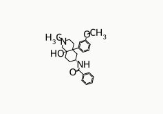 COc1cccc(C23CCN(C)CC2(O)CC[C@@H](NC(=O)c2ccccc2)C3)c1